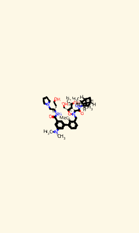 COc1c(CN2O[C@@H](CO)[C@H]([C@H](C)O)C2C(=O)N[C@H]2C[C@H]3C[C@@H]([C@@H]2C)C3(C)C)cccc1-c1cc(C(=O)N[C@@H](CCO)CN2CCCC2)cc(N(C)C)c1